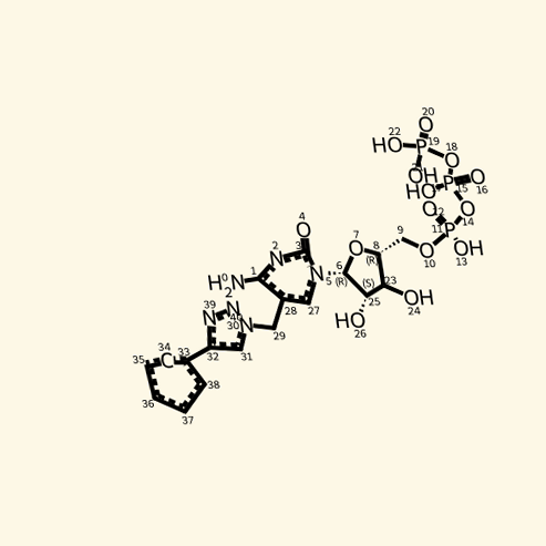 Nc1nc(=O)n([C@@H]2O[C@H](COP(=O)(O)OP(=O)(O)OP(=O)(O)O)C(O)[C@@H]2O)cc1Cn1cc(-c2ccccc2)nn1